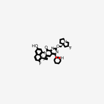 C#Cc1c(F)ccc2cc(O)cc(-n3c(C(F)(F)F)cc4c(N5CC6CCC5CN6)nc(OC[C@@]56CCCN5C[C@H](F)C6)nc4c3=O)c12